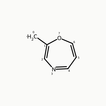 [CH2]C1=CN=CC=CO1